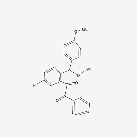 CCCOC(c1ccc(OC(F)(F)F)cc1)c1ccc(F)cc1C(=O)C(=O)c1ccccc1